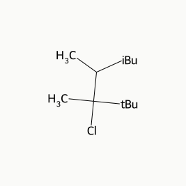 CCC(C)C(C)C(C)(Cl)C(C)(C)C